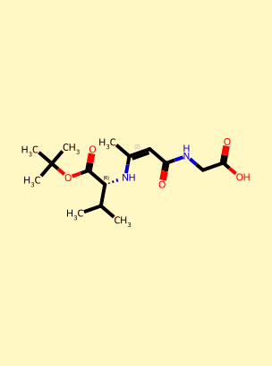 C/C(=C/C(=O)NCC(=O)O)N[C@@H](C(=O)OC(C)(C)C)C(C)C